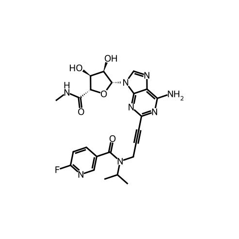 CNC(=O)[C@H]1O[C@@H](n2cnc3c(N)nc(C#CCN(C(=O)c4ccc(F)nc4)C(C)C)nc32)[C@H](O)[C@@H]1O